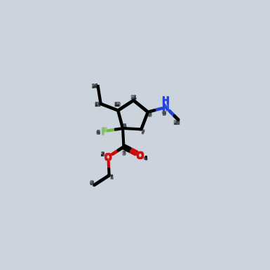 CCOC(=O)C1(F)CC(NC)CC1CC